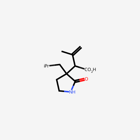 C=C(C)C(C(=O)O)C1(CC(C)C)CCNC1=O